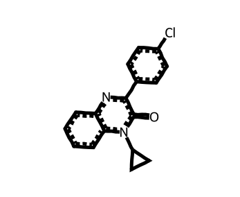 O=c1c(-c2ccc(Cl)cc2)nc2ccccc2n1C1CC1